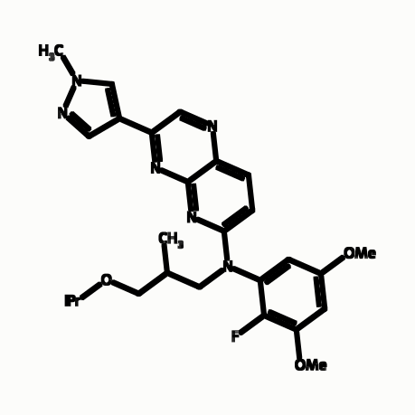 COc1cc(OC)c(F)c(N(CC(C)COC(C)C)c2ccc3ncc(-c4cnn(C)c4)nc3n2)c1